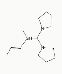 CC=C[SiH](C)C(N1CCCC1)N1CCCC1